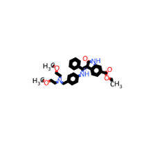 CCOC(=O)c1ccc2c(c1)NC(=O)/C2=C(/Nc1ccc(CN(CCOC)CCOC)cc1)c1ccccc1